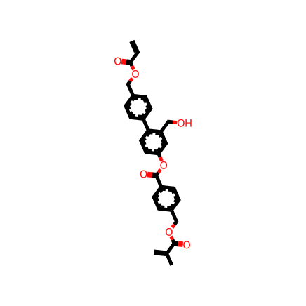 C=CC(=O)OCc1ccc(-c2ccc(OC(=O)c3ccc(COC(=O)C(=C)C)cc3)cc2CO)cc1